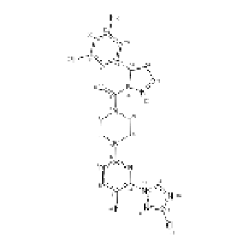 O=C(N1CCN(c2ncc(F)c(-n3cnc(Cl)n3)n2)CC1)N1N=CCC1c1cc(F)cc(F)c1